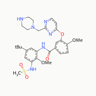 COc1ccc(C(=O)Nc2cc(C(C)(C)C)cc(NS(C)(=O)=O)c2OC)cc1Oc1ccnc(CN2CCNCC2)n1